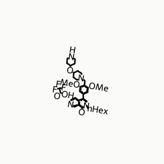 CCCCCCn1cc(-c2cc(OC)c(CN3CCC(OC4CCNCC4)CC3)c(OC)c2)c2ccncc2c1=O.O=C(O)C(F)(F)F